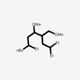 CCCCC(CC)CC(OC)C(COC)CC(CC)CC